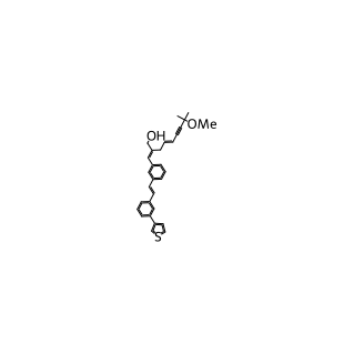 COC(C)(C)C#C/C=C/C/C(=C\c1cccc(/C=C/c2cccc(-c3ccsc3)c2)c1)CO